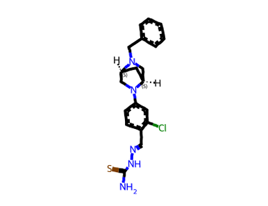 NC(=S)NN=Cc1ccc(N2C[C@@H]3C[C@H]2CN3Cc2ccccc2)cc1Cl